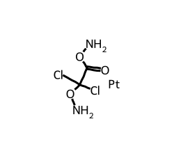 NOC(=O)C(Cl)(Cl)ON.[Pt]